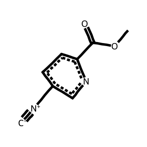 [C-]#[N+]c1ccc(C(=O)OC)nc1